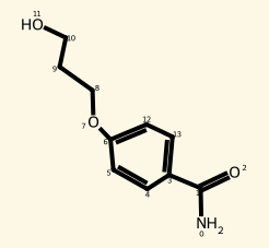 NC(=O)c1ccc(OCCCO)cc1